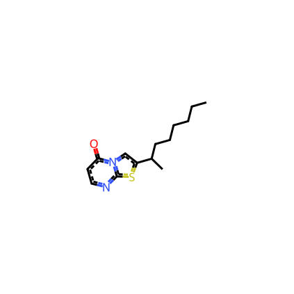 CCCCCCC(C)c1cn2c(=O)ccnc2s1